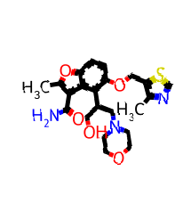 Cc1ncsc1COc1ccc2oc(C)c(C(N)=O)c2c1C(CO)CN1CCOCC1